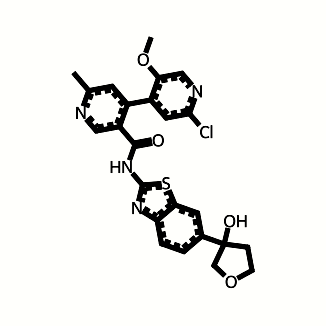 COc1cnc(Cl)cc1-c1cc(C)ncc1C(=O)Nc1nc2ccc(C3(O)CCOC3)cc2s1